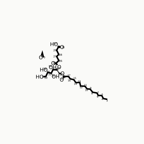 C1CO1.CCCCCCCCCCCCCCCC(=O)OC[C@H](OC(=O)CCCCC(=O)O)[C@@H](O)[C@H](O)[C@H](O)CO